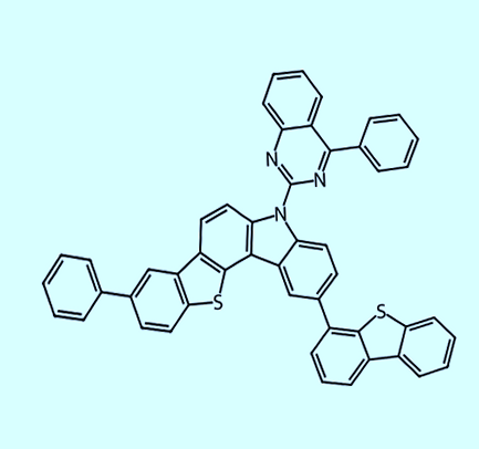 c1ccc(-c2ccc3sc4c(ccc5c4c4cc(-c6cccc7c6sc6ccccc67)ccc4n5-c4nc(-c5ccccc5)c5ccccc5n4)c3c2)cc1